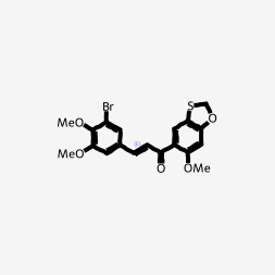 COc1cc2c(cc1C(=O)/C=C/c1cc(Br)c(OC)c(OC)c1)SCO2